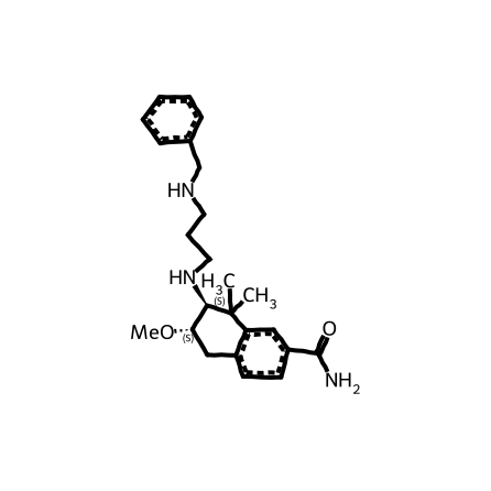 CO[C@H]1Cc2ccc(C(N)=O)cc2C(C)(C)[C@@H]1NCCCNCc1ccccc1